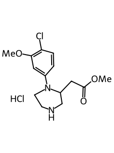 COC(=O)CC1CNCCN1c1ccc(Cl)c(OC)c1.Cl